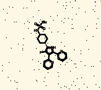 CC(C)(C)S(=O)(=O)N[C@H]1CC[C@H](c2[nH]c(-c3ccccn3)c(-c3ccccn3)c2F)CC1